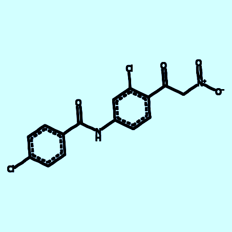 O=C(Nc1ccc(C(=O)C[N+](=O)[O-])c(Cl)c1)c1ccc(Cl)cc1